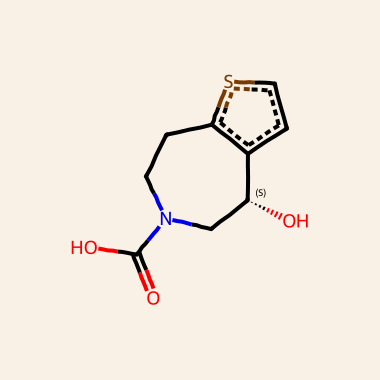 O=C(O)N1CCc2sccc2[C@H](O)C1